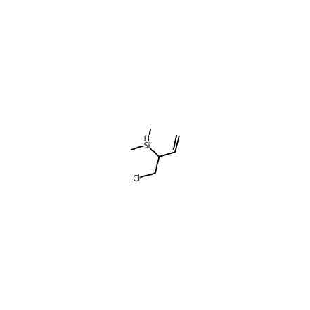 C=CC(CCl)[SiH](C)C